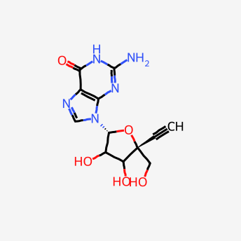 C#C[C@]1(CO)O[C@@H](n2cnc3c(=O)[nH]c(N)nc32)C(O)C1O